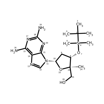 CC(C)(C)[Si](C)(C)O[C@H]1C[C@@H](n2cnc3c(N)nc(N)nc32)O[C@]1(C)CO